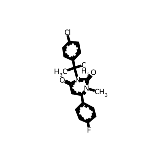 Cn1c(-c2ccc(F)cc2)cc(=O)n(C(C)(C)c2ccc(Cl)cc2)c1=O